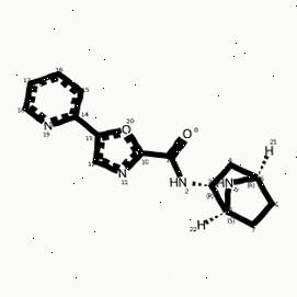 O=C(N[C@@H]1C[C@H]2CC[C@@H]1N2)c1ncc(-c2ccccn2)o1